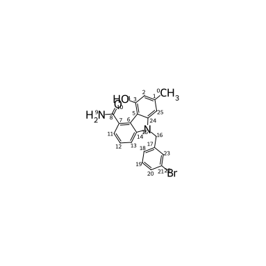 Cc1cc(O)c2c3c(C(N)=O)cccc3n(Cc3cccc(Br)c3)c2c1